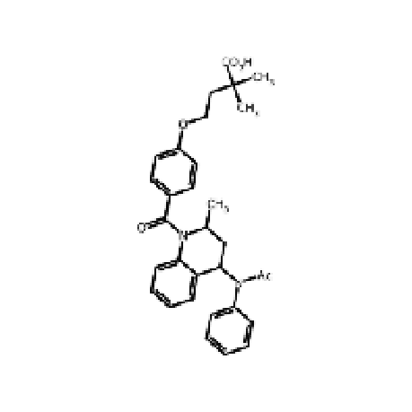 CC(=O)N(c1ccccc1)C1CC(C)N(C(=O)c2ccc(OCCC(C)(C)C(=O)O)cc2)c2ccccc21